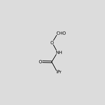 CC(C)C(=O)NOC=O